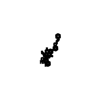 CCCCN(C(=O)Nc1c(C(C)C)cc(-c2cccc(OCCCN3CCCCC3)c2)cc1C(C)C)c1cc2cccnc2[nH]c1=O